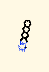 C1=NN=NN2C=c3cc4cc5ccccc5cc4cc3=CN12